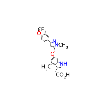 Cc1cc(OCc2cc(-c3ccc(OC(F)(F)F)cc3)nn2C)cc2[nH]cc(CC(=O)O)c12